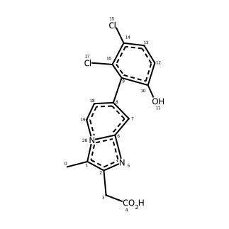 Cc1c(CC(=O)O)nc2cc(-c3c(O)ccc(Cl)c3Cl)ccn12